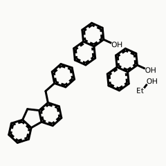 CCO.Oc1cccc2ccccc12.Oc1cccc2ccccc12.c1ccc(Cc2cccc3c2Cc2ccccc2-3)cc1